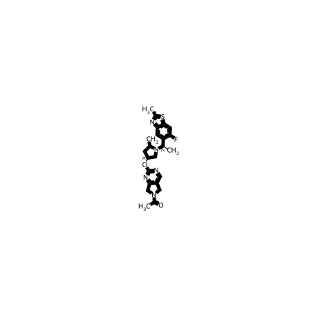 CC(=O)N1Cc2cnc(O[C@@H]3CC(C)N([C@@H](C)c4cc5nc(C)sc5cc4F)C3)nc2C1